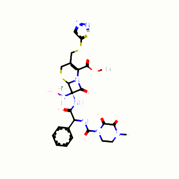 CCN1CCN(C(=O)NC(C(=O)N[C@]2(NO)C(=O)N3C(C(=O)OC(C)(C)C)=C(CSc4cnns4)CS[C@@H]32)c2ccccc2)C(=O)C1=O